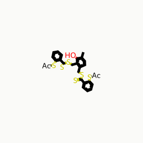 CC(=O)Sc1ccccc1C(=S)SCc1ccc(C)c(O)c1CSC(=S)c1ccccc1SC(C)=O